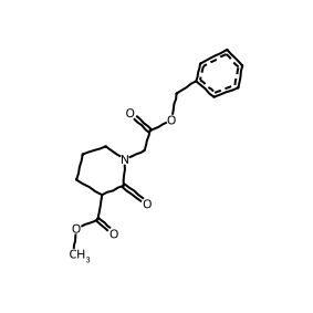 COC(=O)C1CCCN(CC(=O)OCc2ccccc2)C1=O